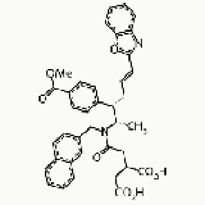 COC(=O)c1ccc([C@H](CC=Cc2nc3ccccc3o2)[C@H](C)N(Cc2ccc3ccccc3c2)C(=O)C[C@H](CC(=O)O)C(=O)O)cc1